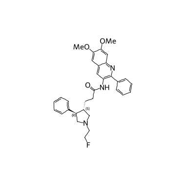 COc1cc2cc(NC(=O)CC[C@@H]3CN(CCF)C[C@H]3c3ccccc3)c(-c3ccccc3)nc2cc1OC